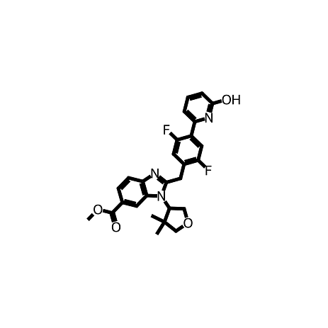 COC(=O)c1ccc2nc(Cc3cc(F)c(-c4cccc(O)n4)cc3F)n(C3COCC3(C)C)c2c1